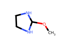 COC1N[CH]CN1